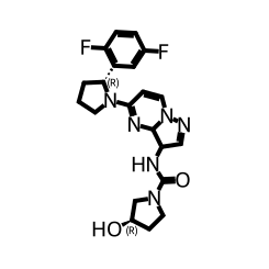 O=C(NC1C=NN2C=CC(N3CCC[C@@H]3c3cc(F)ccc3F)=NC12)N1CC[C@@H](O)C1